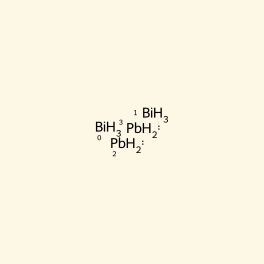 [BiH3].[BiH3].[PbH2].[PbH2]